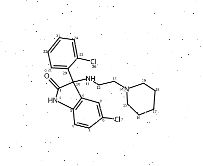 O=C1Nc2ccc(Cl)cc2C1(NCCN1CCCCC1)c1ccccc1Cl